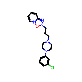 Clc1cccc(N2CCN(CCCN3N=C4C=CC=CN4O3)CC2)c1